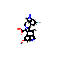 CCn1c(C(=O)O)c(-c2cc(OC)cc3[nH]ccc23)c(C(C)C)c1-c1cc(F)cc2[nH]ccc12